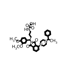 COc1ccc([C@@H](CCCNS(=O)(=O)O)N2C(=O)c3cccc(N4CCN(C(C)c5ccccc5)CC4)c3C2=O)cc1OC